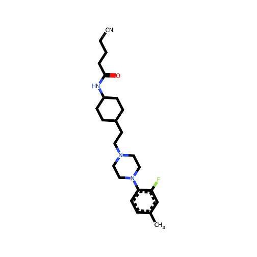 Cc1ccc(N2CCN(CCC3CCC(NC(=O)CCCC#N)CC3)CC2)c(F)c1